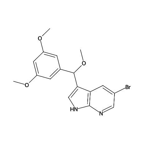 COc1cc(OC)cc(C(OC)c2c[nH]c3ncc(Br)cc23)c1